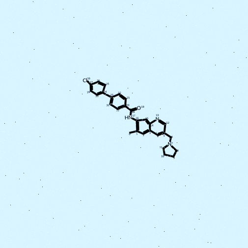 Cc1cc2cc(CN3CCCC3)cnc2cc1NC(=O)c1ccc(-c2ccc(Cl)cc2)cc1